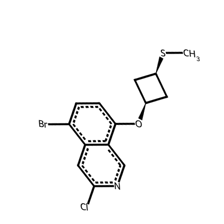 CS[C@H]1C[C@@H](Oc2ccc(Br)c3cc(Cl)ncc23)C1